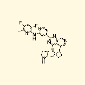 Fc1cc(F)c(Nc2cc(-c3nc(N4CCC5NCCC54)c4c(C5CCC5)cncc4n3)ccn2)nc1F